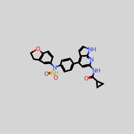 O=C(Nc1cc(-c2ccc(N(c3ccc4c(c3)CCO4)[SH](=O)=O)cc2)c2cc[nH]c2n1)C1CC1